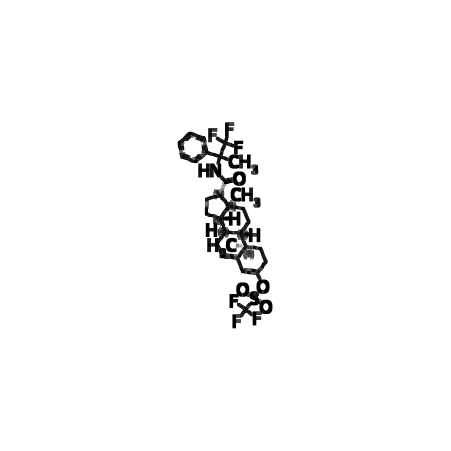 CC(NC(=O)[C@H]1CC[C@H]2[C@@H]3CC=C4C=C(OS(=O)(=O)C(F)(F)F)CC[C@]4(C)[C@H]3CC[C@]12C)(c1ccccc1)C(F)(F)F